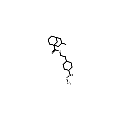 CC1CC2CCCC(C(=O)OCCC3CCC(NSC(F)(F)F)CC3)(C1)C2